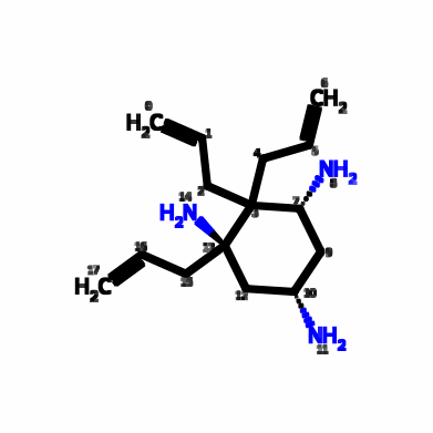 C=CCC1(CC=C)[C@H](N)C[C@H](N)C[C@]1(N)CC=C